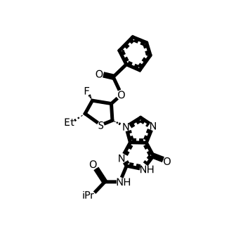 CC[C@H]1S[C@@H](n2cnc3c(=O)[nH]c(NC(=O)C(C)C)nc32)C(OC(=O)c2ccccc2)[C@H]1F